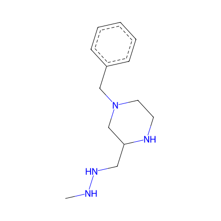 CNNCC1CN(Cc2ccccc2)CCN1